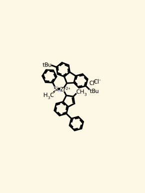 CC1=Cc2c(-c3ccccc3)cccc2[CH]1/[Zr+2]([CH]1c2cc(C(C)(C)C)ccc2-c2ccc(C(C)(C)C)cc21)=[Si](\C)c1ccccc1.[Cl-].[Cl-]